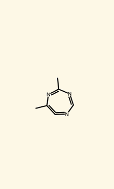 CC1=C=NC=NC(C)=N1